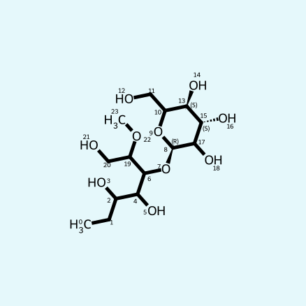 CCC(O)C(O)C(O[C@H]1OC(CO)[C@@H](O)[C@H](O)C1O)C(CO)OC